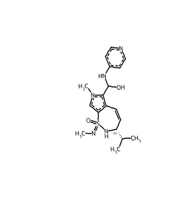 CN=S1(=O)N[C@@H](C(C)C)C=Cc2c1cn(C)c2C(O)Nc1ccncc1